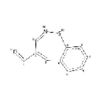 O=CC1=Cc2ccccc2SN=C1